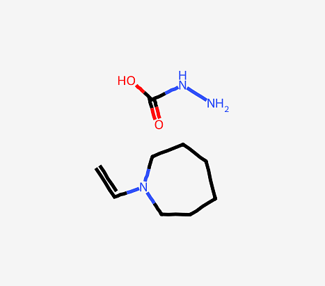 C=CN1CCCCCC1.NNC(=O)O